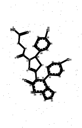 O=C(O)CCC(=O)N1N=C(c2c(-c3ccc(Cl)cc3)c3cscc3[nH]c2=O)CC1c1ccc(Cl)cc1